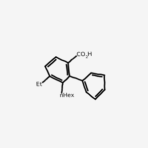 CCCCCCc1c(CC)ccc(C(=O)O)c1-c1ccccc1